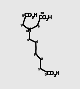 O=C(O)CCCCCN(CC(=O)O)CC(=O)O